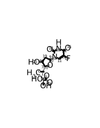 CC(OP(=O)(O)O)[C@H]1O[C@@H](n2cc(F)c(=O)[nH]c2=O)C[C@@H]1O